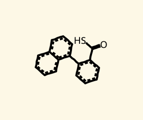 O=C(S)c1ccccc1-c1cccc2ccccc12